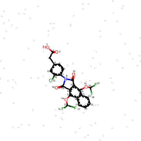 O=C(O)Cc1ccc(N2C(=O)c3c(c(OC(F)F)c4ccccc4c3OC(F)F)C2=O)c(Cl)c1